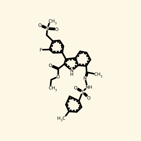 CCOC(=O)c1[nH]c2c(C(C)=NNS(=O)(=O)c3ccc(C)cc3)cccc2c1-c1ccc(CS(C)(=O)=O)c(F)c1